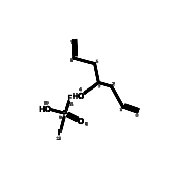 C=CCC(O)CC=C.O=P(O)(F)F